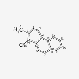 Cc1ccc2c(ccc3ccccc32)c1Cl